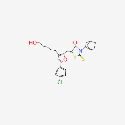 O=C1/C(=C/c2oc(-c3ccc(Cl)cc3)cc2CCCCCO)SC(=S)N1C1CC2CCC1C2